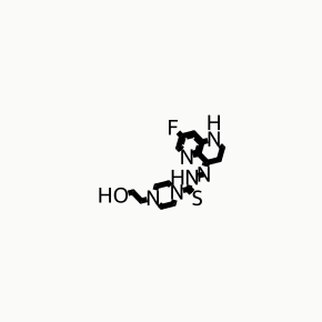 OCCN1CCN(C(=S)N/N=C2/CCNc3cc(F)cnc32)CC1